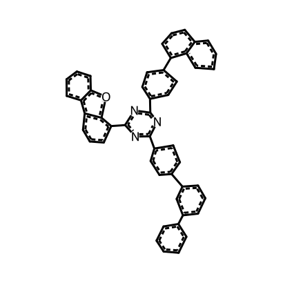 c1ccc(-c2cccc(-c3ccc(-c4nc(-c5ccc(-c6cccc7ccccc67)cc5)nc(-c5cccc6c5oc5ccccc56)n4)cc3)c2)cc1